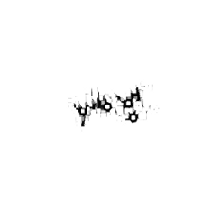 C#CCOc1cc(-n2nc(C(C)(C)C)oc2=O)c(Cl)cc1Cl.COc1c(Cl)ccc(Cl)c1C(=O)O.O=C(Nc1nc(OC(F)F)cc(OC(F)F)n1)NS(=O)(=O)c1ccccc1C(=O)O